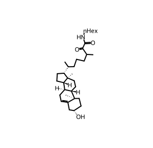 CCCCCCNC(=O)C(=O)C(C)CCCC(C)[C@H]1CC[C@H]2[C@@H]3CC=C4C[C@@H](O)CC[C@]4(C)[C@H]3CC[C@]12C